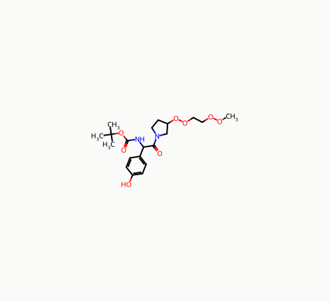 COOCCOOC1CCN(C(=O)C(NC(=O)OC(C)(C)C)c2ccc(O)cc2)C1